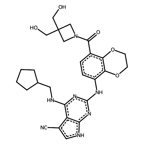 N#Cc1c[nH]c2nc(Nc3ccc(C(=O)N4CC(CO)(CO)C4)c4c3OCCO4)nc(NCC3CCCC3)c12